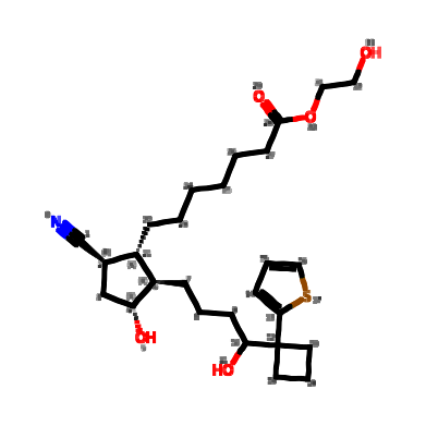 N#C[C@@H]1C[C@@H](O)[C@H](CCCC(O)C2(c3cccs3)CCC2)[C@H]1CCCCCCC(=O)OCCO